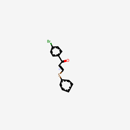 O=C(/C=C/Sc1ccccc1)c1ccc(Br)cc1